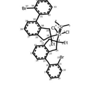 CC[C]1([Zr]([Cl])([Cl])(=[Si](C)C)[C]2(CC)Cc3cccc(-c4ccccc4Br)c3C2)Cc2cccc(-c3ccccc3Br)c2C1